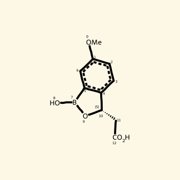 COc1ccc2c(c1)B(O)O[C@H]2CC(=O)O